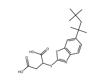 CC(C)(C)CC(C)(C)c1ccc2nc(SC(CC(=O)O)C(=O)O)sc2c1